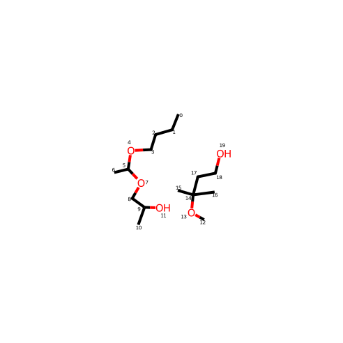 CCCCOC(C)OCC(C)O.COC(C)(C)CCO